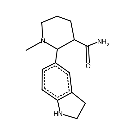 CN1CCCC(C(N)=O)C1c1ccc2c(c1)CCN2